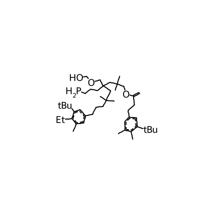 C=C(CCc1cc(C)c(C)c(C(C)(C)C)c1)OCC(C)(C)CC(CCCP)(COCO)CC(C)(C)CCCc1cc(C)c(CC)c(C(C)(C)C)c1